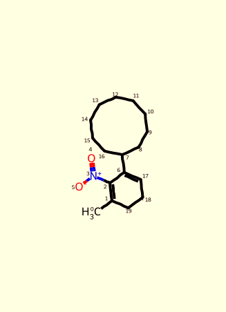 CC1=C([N+](=O)[O-])C(C2CCCCCCCCC2)=C[CH]C1